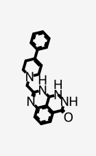 O=C1NNC2NC(CN3CC=C(c4ccccc4)CC3)=Nc3cccc1c32